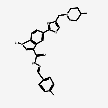 CCn1cc(C(=O)N/N=C/c2ccc(F)cc2)c2cc(-c3nc(CN4CCC(C)CC4)cs3)ccc21